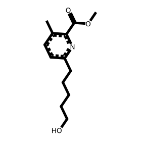 COC(=O)c1nc(CCCCCO)ccc1C